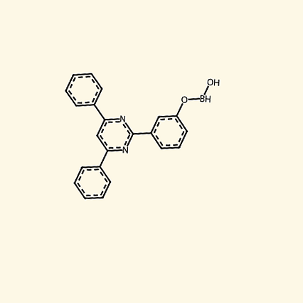 OBOc1cccc(-c2nc(-c3ccccc3)cc(-c3ccccc3)n2)c1